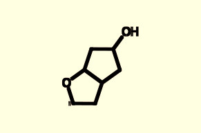 OC1CC2C[C]OC2C1